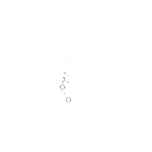 Cc1ccc(NC(=O)Nc2ccc(-c3nsc(NC(=O)NCCCN4CCCC4)c3C(N)=O)cc2)cc1